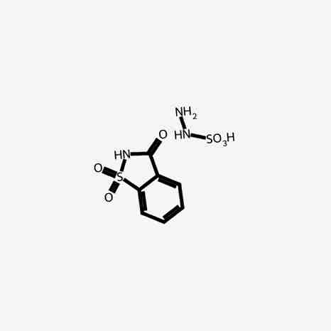 NNS(=O)(=O)O.O=C1NS(=O)(=O)c2ccccc21